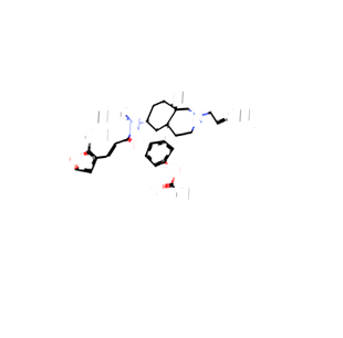 C=CCN1CC[C@@]2(c3cccc(OC(C)=O)c3)C[C@@H](N(C)C(=O)/C=C/c3ccoc3C)CC[C@@H]2C1